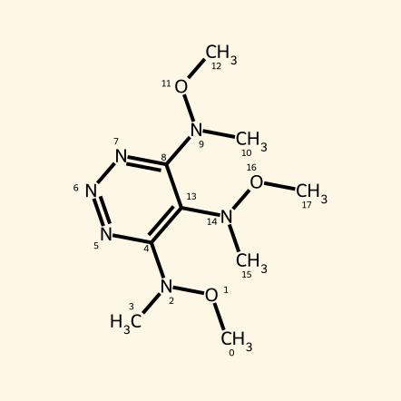 CON(C)c1nnnc(N(C)OC)c1N(C)OC